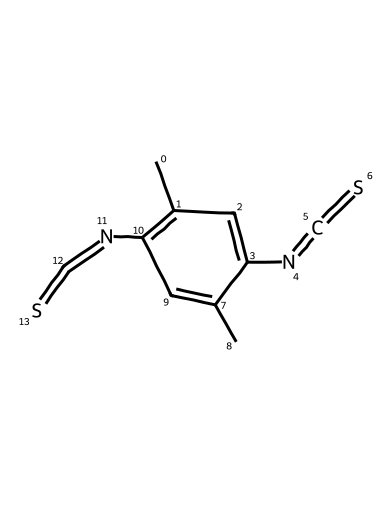 Cc1cc(N=C=S)c(C)cc1N=C=S